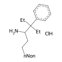 CCCCCCCCCCCC(N)C(CC)(CC)c1ccccc1.Cl